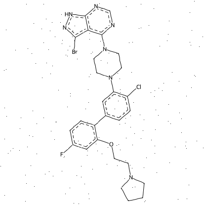 Fc1ccc(-c2ccc(Cl)c(N3CCN(c4ncnc5[nH]nc(Br)c45)CC3)c2)c(OCCN2CCCC2)c1